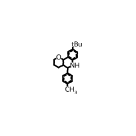 Cc1ccc(C2Nc3ccc(C(C)(C)C)cc3C3OCCCC23)cc1